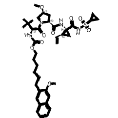 C=C[C@@H]1C[C@]1(NC(=O)[C@@H]1C[C@H](OC)CN1C(=O)[C@@H](NC(=O)OCCCCCCc1cc2ccccc2cc1OC)C(C)(C)C)C(=O)NS(=O)(=O)C1CC1